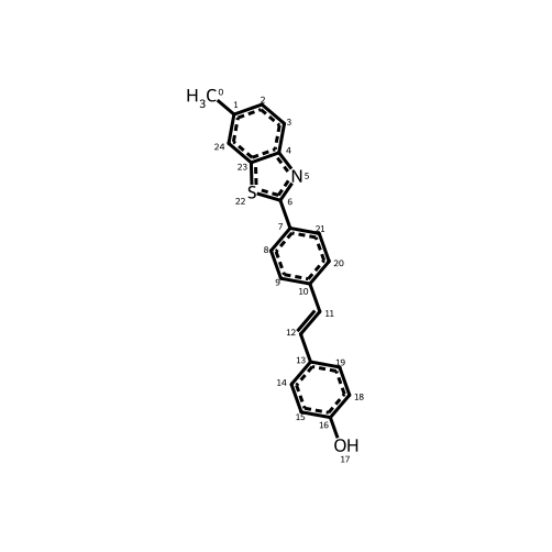 Cc1ccc2nc(-c3ccc(C=Cc4ccc(O)cc4)cc3)sc2c1